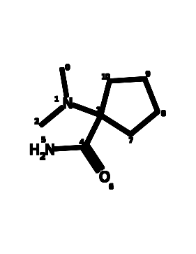 CN(C)C1(C(N)=O)CCCC1